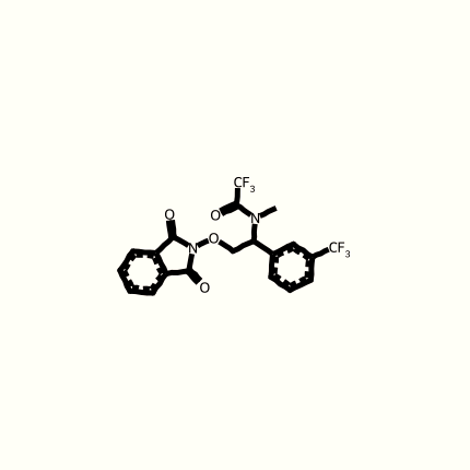 CN(C(=O)C(F)(F)F)C(CON1C(=O)c2ccccc2C1=O)c1cccc(C(F)(F)F)c1